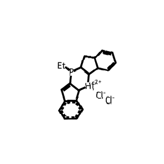 CCP1C2=Cc3ccccc3[CH]2[Hf+2][CH]2C3C=CC=CC3CC21.[Cl-].[Cl-]